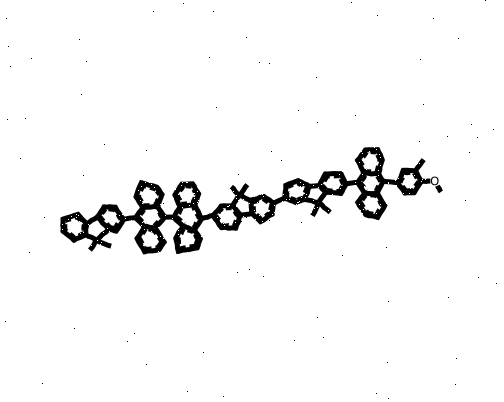 COc1ccc(-c2c3ccccc3c(-c3ccc4c(c3)C(C)(C)c3cc(-c5ccc6c(c5)C(C)(C)c5cc(-c7c8ccccc8c(-c8c9ccccc9c(-c9ccc%10c(c9)C(C)(C)c9ccccc9-%10)c9ccccc89)c8ccccc78)ccc5-6)ccc3-4)c3ccccc23)cc1C